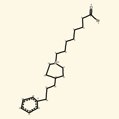 O=C(Br)CCCCCCCN1CCC(CCCc2ccccc2)CC1